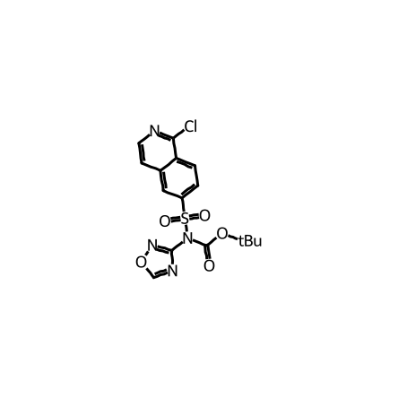 CC(C)(C)OC(=O)N(c1ncon1)S(=O)(=O)c1ccc2c(Cl)nccc2c1